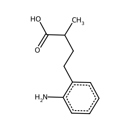 CC(CCc1ccccc1N)C(=O)O